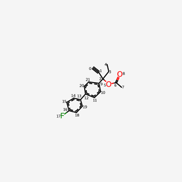 C#CC(CC)(OC(C)=O)c1ccc(-c2ccc(F)cc2)cc1